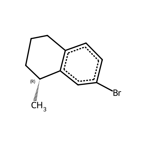 C[C@@H]1CCCc2ccc(Br)cc21